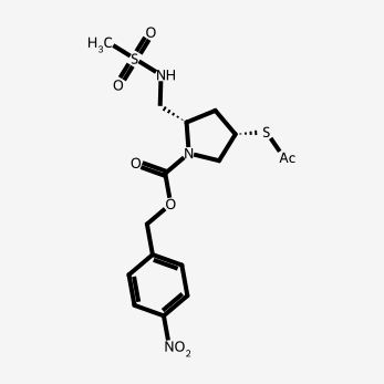 CC(=O)S[C@H]1C[C@@H](CNS(C)(=O)=O)N(C(=O)OCc2ccc([N+](=O)[O-])cc2)C1